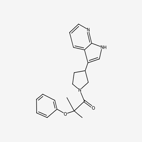 CC(C)(Oc1ccccc1)C(=O)N1CCC(c2c[nH]c3ncccc23)C1